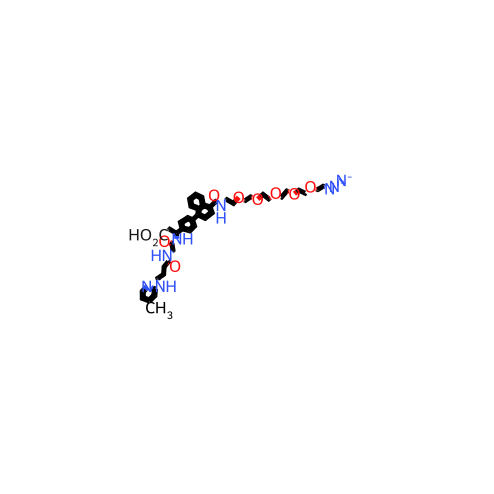 Cc1ccnc(NCCCC(=O)NCC(=O)NC(CC(=O)O)c2ccc(-c3ccc(C(=O)NCCOCCOCCOCCOCCOCCN=[N+]=[N-])c4ccccc34)cc2)c1